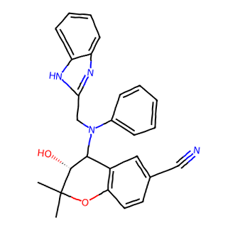 CC1(C)Oc2ccc(C#N)cc2C(N(Cc2nc3ccccc3[nH]2)c2ccccc2)[C@H]1O